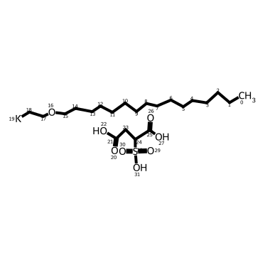 CCCCCCCCCCCCCCCCOC[CH2][K].O=C(O)CC(C(=O)O)S(=O)(=O)O